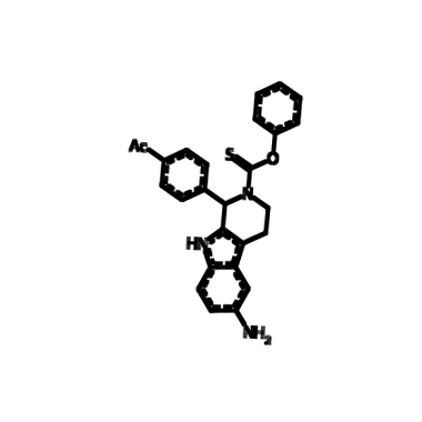 CC(=O)c1ccc(C2c3[nH]c4ccc(N)cc4c3CCN2C(=S)Oc2ccccc2)cc1